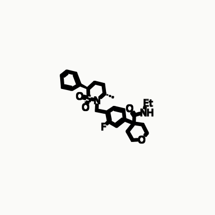 CCNC(=O)C1(c2ccc(CN3[C@@H](C)CC[C@H](c4ccccc4)S3(=O)=O)c(F)c2)CCOCC1